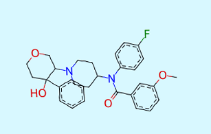 COc1cccc(C(=O)N(c2ccc(F)cc2)C2CCN(C3COCCC3(O)c3ccccc3)CC2)c1